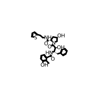 Cc1c(O)cccc1C(=O)N[C@@H](Cc1ccccc1)[C@H](O)C(=O)N1C[C@H](O)C[C@H]1C(=O)NCCc1cccs1